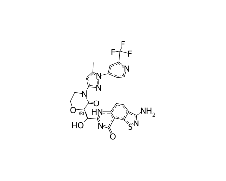 Cc1cc(N2CCO[C@H](C(O)c3nc(=O)c4c(ccc5c(N)nsc54)[nH]3)C2=O)nn1-c1ccnc(C(F)(F)F)c1